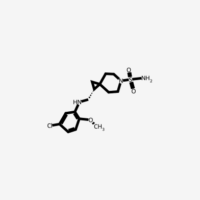 COc1ccc(Cl)cc1NC[C@@H]1CC12CCN(S(N)(=O)=O)CC2